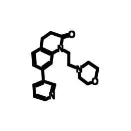 O=C1CCc2ccc(-c3cccnc3)cc2N1CCN1CCOCC1